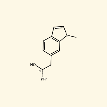 CCC[C@H](O)Cc1ccc2ccn(C)c2c1